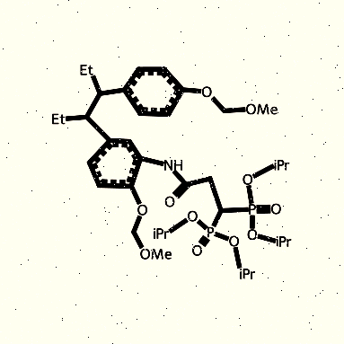 CCC(c1ccc(OCOC)cc1)C(CC)c1ccc(OCOC)c(NC(=O)CC(P(=O)(OC(C)C)OC(C)C)P(=O)(OC(C)C)OC(C)C)c1